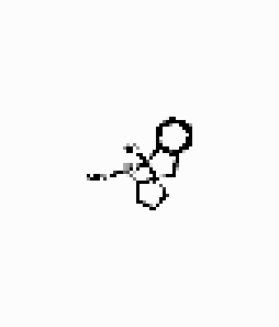 COC[C@H]1CCC[N@+]12Cc1ccccc1[B-]2(O)O